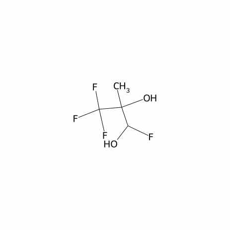 CC(O)(C(O)F)C(F)(F)F